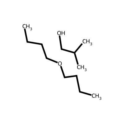 CC(C)CO.CCCCOCCCC